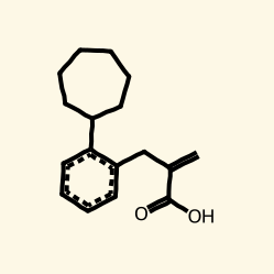 C=C(Cc1ccccc1C1CCCCCC1)C(=O)O